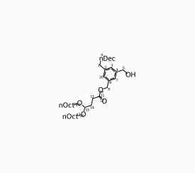 C[CH]CCCCCCCCCc1cc(CO)cc(COC(=O)CCC(OCCCCCCCC)OCCCCCCCC)c1